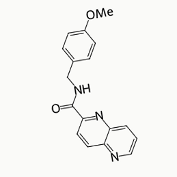 COc1ccc(CNC(=O)c2ccc3ncccc3n2)cc1